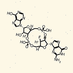 Nc1nc2c(ncn2[C@@H]2O[C@@H]3COP(=O)(O)O[C@H]4[C@@H](O)[C@H](n5cnc6c(O)ncnc65)O[C@@H]4COP(=O)(O)O[C@@H]2[C@@H]3F)c(=O)[nH]1